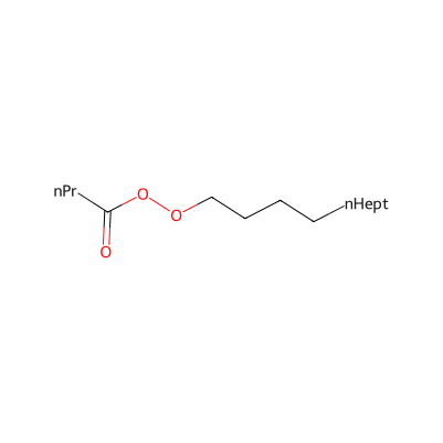 CCCCCCCCCCCOOC(=O)CCC